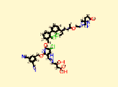 C=C/C(=C\C=C(/C)OCCN1CC2(CCC(=O)N2)C1)c1cccc(-c2cccc(COc3nc(OCc4cc(C#N)cc(C#N)c4)c(CNC[C@@H](O)CC(=O)O)cc3Cl)c2Cl)c1Cl